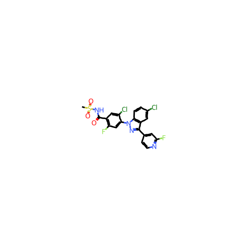 CS(=O)(=O)NC(=O)c1cc(Cl)c(-n2nc(-c3ccnc(F)c3)c3cc(Cl)ccc32)cc1F